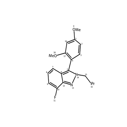 COc1ccc(-c2c3cccc(F)c3nn2CC(C)C)c(OC)c1